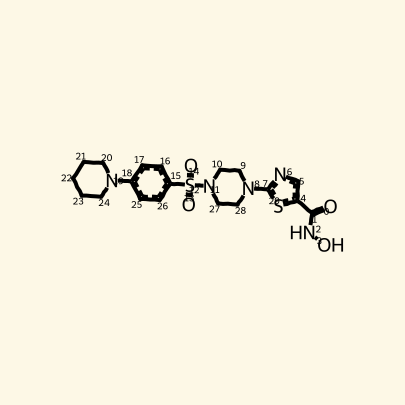 O=C(NO)c1cnc(N2CCN(S(=O)(=O)c3ccc(N4CCCCC4)cc3)CC2)s1